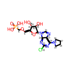 O=P(O)(O)COC=C1O[C@@H](n2cnc3c(N4CCCC4)nc(Cl)nc32)[C@H](O)[C@@H]1O